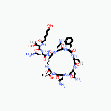 CC(C)C[C@@H]1NC(=O)[C@@H](Cc2ccccc2)NC(=O)[C@H](CCN)NC(=O)[C@@H](NC(=O)[C@H](CCN)NC(=O)[C@@H](NC(=O)CCCCCO)C(C)O)CCNC(=O)[C@H](C(C)O)NC(=O)[C@H](CCN)NC(=O)[C@H](CCN)NC1=O